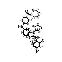 O=C([C@H]1CC[C@H](Nc2ncc3nc(Nc4c(F)cc(F)cc4F)n([C@H]4CCOC4)c3n2)CC1)N1CCOCC1